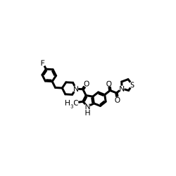 Cc1[nH]c2ccc(C(=O)C(=O)N3CCSC3)cc2c1C(=O)N1CCC(Cc2ccc(F)cc2)CC1